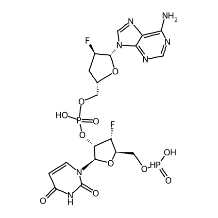 Nc1ncnc2c1ncn2[C@@H]1O[C@H](COP(=O)(O)O[C@@H]2[C@H](F)[C@@H](CO[PH](=O)O)O[C@H]2n2ccc(=O)[nH]c2=O)C[C@H]1F